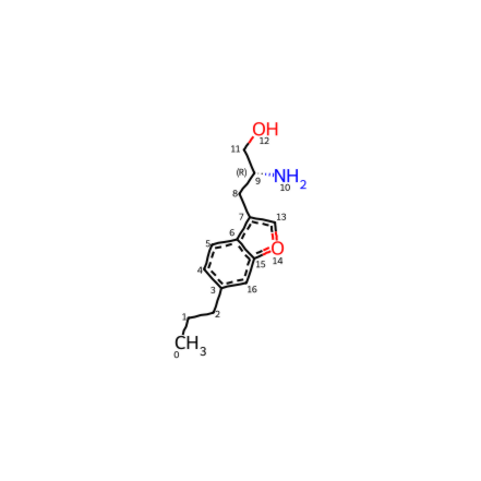 CCCc1ccc2c(C[C@@H](N)CO)coc2c1